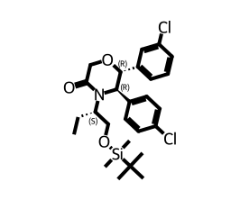 CC[C@@H](CO[Si](C)(C)C(C)(C)C)N1C(=O)CO[C@H](c2cccc(Cl)c2)[C@H]1c1ccc(Cl)cc1